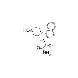 CC(Nc1ccc2ccccc2c1N1CCN(C)CC1)C(N)=O